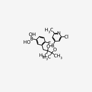 Cc1cc(B2OC(C)(C)C(C)(Cc3cc(B(O)O)ccc3F)O2)cc(Cl)n1